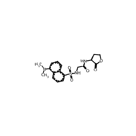 CN(C)c1cccc2c(S(=O)(=O)NCC(=O)NC3CCOC3=O)cccc12